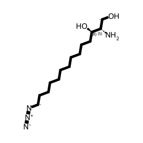 [N-]=[N+]=N[CH]CCCCCCCCCC[C@@H](O)[C@@H](N)[CH]O